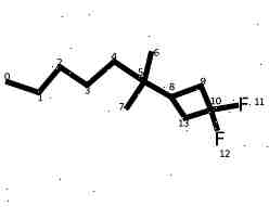 CCCCCC(C)(C)C1CC(F)(F)C1